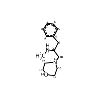 CNC(Cc1ccccc1)CN1CCOCC1